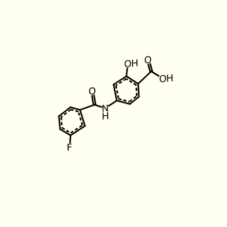 O=C(Nc1ccc(C(=O)O)c(O)c1)c1cccc(F)c1